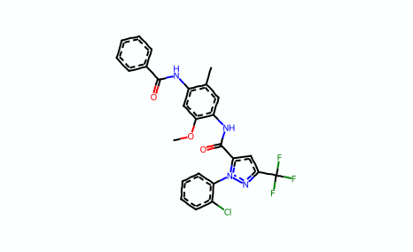 COc1cc(NC(=O)c2ccccc2)c(C)cc1NC(=O)c1cc(C(F)(F)F)nn1-c1ccccc1Cl